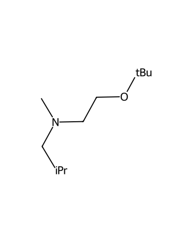 CC(C)CN(C)CCOC(C)(C)C